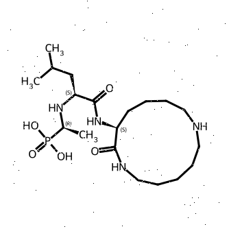 CC(C)C[C@H](N[C@@H](C)P(=O)(O)O)C(=O)N[C@H]1CCCCNCCCCCNC1=O